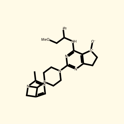 COCC(Nc1nc(N2CCN(C3C4=CN=C(C)N3C4)CC2)nc2c1[S+]([O-])CC2)C(C)C